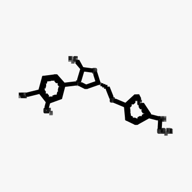 CCOC(=O)Nc1ccc(OC[C@@H]2CN(c3ccc(C#N)c(C(F)(F)F)c3)[C@@H](C(F)(F)F)O2)cc1